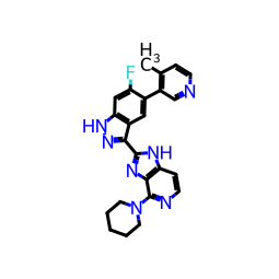 Cc1ccncc1-c1cc2c(-c3nc4c(N5CCCCC5)nccc4[nH]3)n[nH]c2cc1F